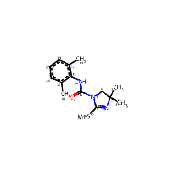 CSC1=NC(C)(C)CN1C(=O)Nc1c(C)cccc1C